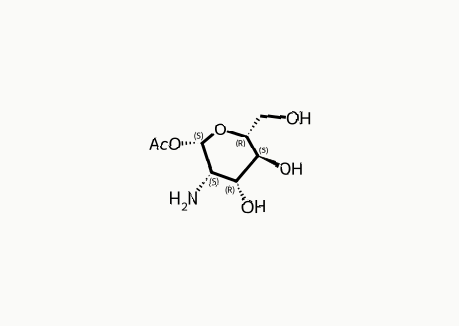 CC(=O)O[C@@H]1O[C@H](CO)[C@@H](O)[C@H](O)[C@@H]1N